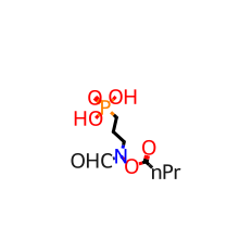 CCCC(=O)ON(C=O)CCCP(=O)(O)O